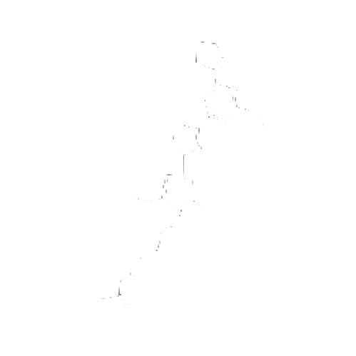 CCc1cc(-c2noc(-c3cc(OC)nc(C4CCCC4)c3)n2)cc(C)c1OCCCNCC(=O)O